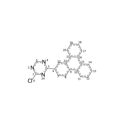 Clc1ncnc(-c2ccc3c4ccccc4c4ccccc4c3c2)n1